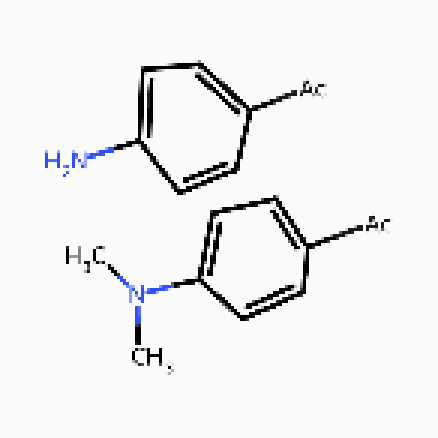 CC(=O)c1ccc(N(C)C)cc1.CC(=O)c1ccc(N)cc1